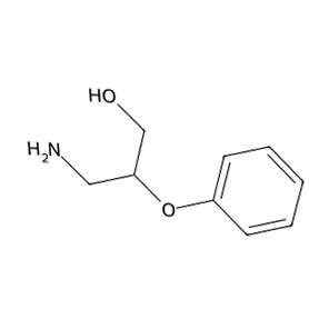 NCC(CO)Oc1ccccc1